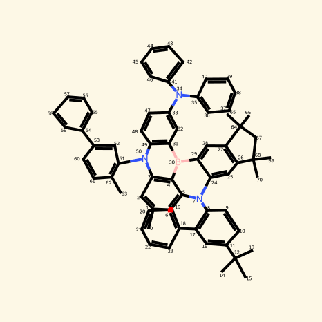 Cc1cc2c3c(c1)N(c1ccc(C(C)(C)C)cc1-c1ccccc1)c1cc4c(cc1B3c1cc(N(c3ccccc3)c3ccccc3)ccc1N2c1cc(-c2ccccc2)ccc1C)C(C)(C)CC4(C)C